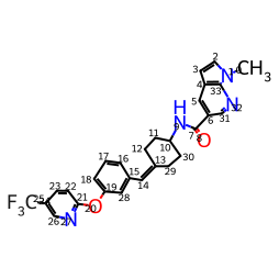 Cn1ccc2cc(C(=O)NC3CCC(=Cc4cccc(Oc5ccc(C(F)(F)F)cn5)c4)CC3)cnc21